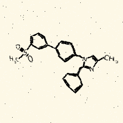 Cc1cn(-c2ccc(-c3cccc(S(C)(=O)=O)c3)cc2)c(-c2ccccc2)n1